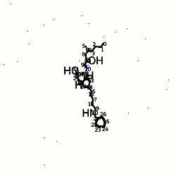 CCCC[C@H](C)C[C@H](O)/C=C/[C@@H]1[C@H]2CC(CCCCCNc3ccccc3)=C[C@H]2C[C@H]1O